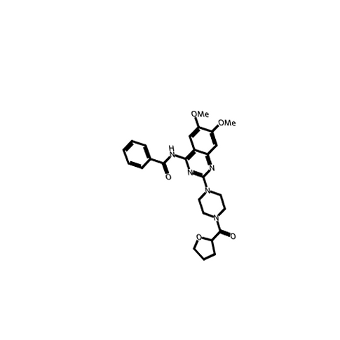 COc1cc2nc(N3CCN(C(=O)C4CCCO4)CC3)nc(NC(=O)c3ccccc3)c2cc1OC